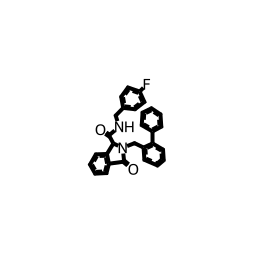 O=C(NCc1ccc(F)cc1)C1c2ccccc2C(=O)N1Cc1ccccc1-c1ccccc1